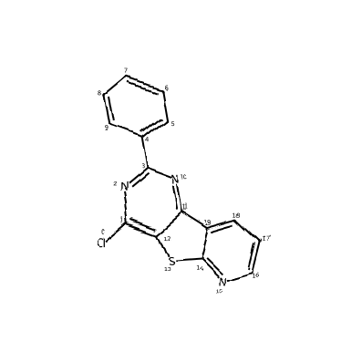 Clc1nc(-c2ccccc2)nc2c1sc1ncccc12